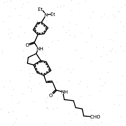 CCN(CC)c1ccc(C(=O)NC2CCc3cc(/C=C/C(=O)NCCCCCC=O)ccc32)cc1